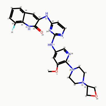 COc1cc(Nc2nccc(Nc3cc4cccc(F)c4[nH]c3=O)n2)cnc1N1CCN(C2COC2)CC1